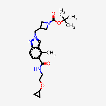 Cc1c(C(=O)NCCOC2CC2)ccc2nn(CC3CN(C(=O)OC(C)(C)C)C3)cc12